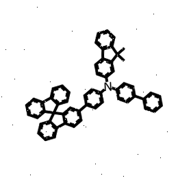 CC1(C)c2ccccc2-c2ccc(N(c3ccc(-c4ccccc4)cc3)c3ccc(-c4ccc5c(c4)C4(c6ccccc6-c6ccccc64)c4ccccc4-5)cc3)cc21